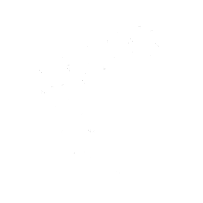 CN1CCN(CC2CCC(c3nc(-c4ccc5ccc(-c6ccccc6)nc5c4)c4c(N)nccn34)CC2)CC1